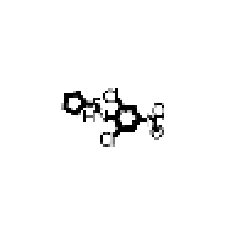 O=[N+]([O-])c1cc(Cl)c(NSC2CCCC2)c(Cl)c1